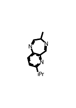 CC1C=Nc2ccc(C(C)C)nc2C=N1